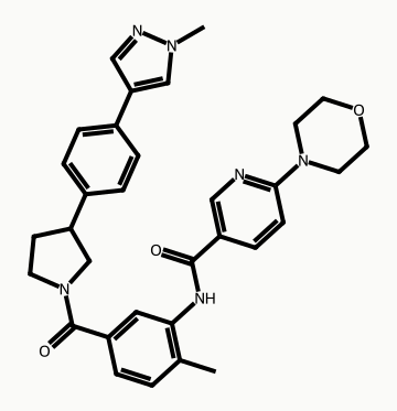 Cc1ccc(C(=O)N2CCC(c3ccc(-c4cnn(C)c4)cc3)C2)cc1NC(=O)c1ccc(N2CCOCC2)nc1